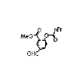 CCCC(=O)Oc1ccc(C=O)cc1C(=O)OC